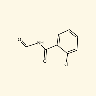 O=[C]NC(=O)c1ccccc1Cl